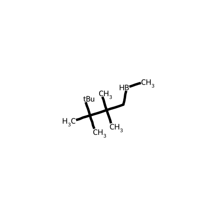 CBCC(C)(C)C(C)(C)C(C)(C)C